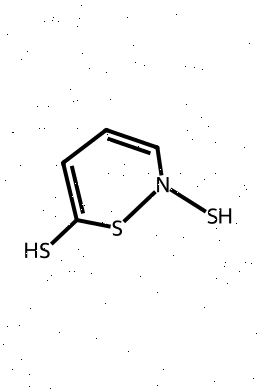 SC1=CC=CN(S)S1